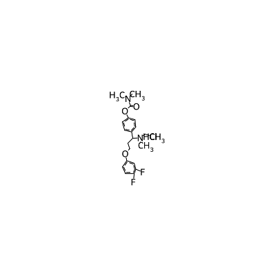 CCN(C)C(CCOc1ccc(F)c(F)c1)c1ccc(OC(=O)N(C)C)cc1.Cl